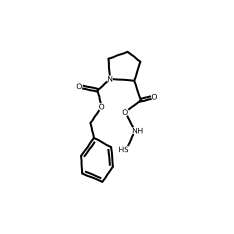 O=C(ONS)C1CCCN1C(=O)OCc1ccccc1